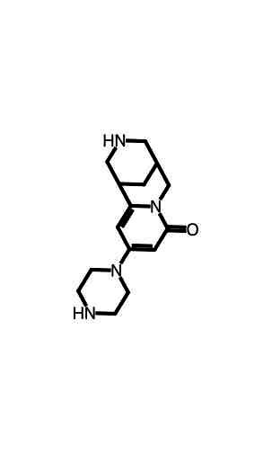 O=c1cc(N2CCNCC2)cc2n1CC1CNCC2C1